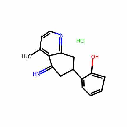 Cc1ccnc2c1C(=N)CC(c1ccccc1O)C2.Cl